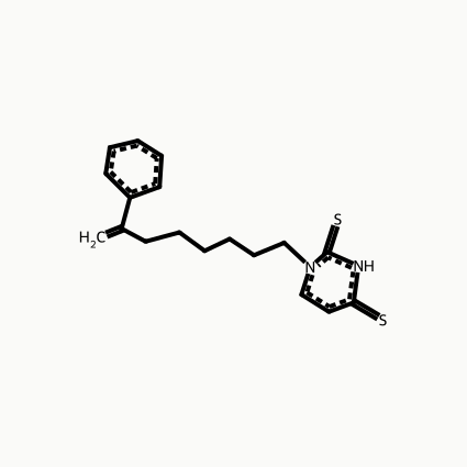 C=C(CCCCCCn1ccc(=S)[nH]c1=S)c1ccccc1